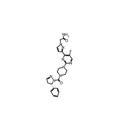 NC(=O)Cn1ccc(-c2nc(N3CCN(C(=O)N4N=CC[C@H]4c4ccccc4)CC3)ncc2F)n1